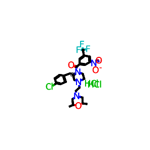 CC1CN(CCN2CCN(C(=O)c3cc([N+](=O)[O-])cc(C(F)(F)F)c3)[C@H](Cc3ccc(Cl)cc3)C2)CC(C)O1.Cl.Cl